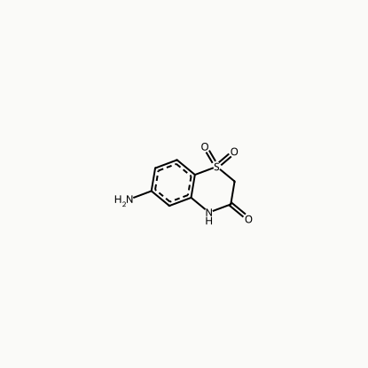 Nc1ccc2c(c1)NC(=O)CS2(=O)=O